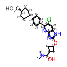 CN(C)C(O)C1CC(Oc2nc3nc(-c4ccc([C@H]5CC[C@H](C(=O)O)CC5)cc4)c(Cl)cc3[nH]2)C1